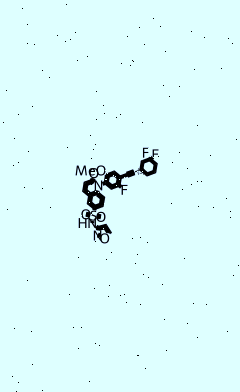 COc1cc(C#C[C@H]2CCCC(F)(F)C2)c(F)cc1-n1c(=O)ccc2cc(S(=O)(=O)Nc3ccon3)ccc21